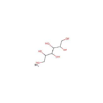 B.OCC(O)C(O)C(O)C(O)CO